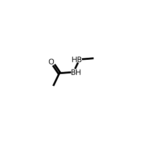 CBBC(C)=O